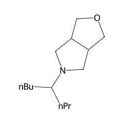 CCCCC(CCC)N1CC2COCC2C1